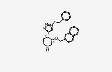 c1ccc(CCn2cc([C@H]3CCNC[C@@H]3OCc3ccc4ccccc4c3)nn2)cc1